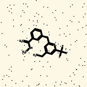 C=C(NC)c1cccc(Cc2cc(CN)cc(C(F)(F)F)n2)c1